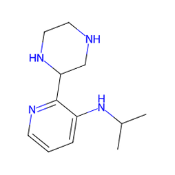 CC(C)Nc1cccnc1C1CNCCN1